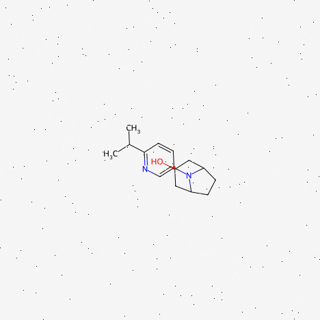 CC(C)c1ccc(N2C3CCC2CC(O)C3)cn1